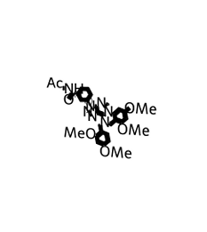 COc1ccc(CN(Cc2ccc(OC)cc2OC)c2ncnc3c2nnn3[C@@H]2CCC[C@H](C(=O)NCC(C)=O)C2)c(OC)c1